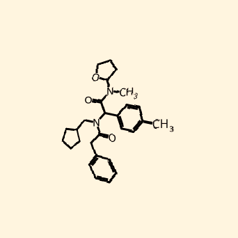 Cc1ccc(C(C(=O)N(C)C2CCCO2)N(CC2CCCC2)C(=O)Cc2ccccc2)cc1